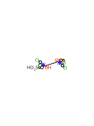 O=S(=O)(O)c1cc2c(s1)-c1c(c(C(O)CCCCCCCCC(O)c3nn(-c4ccc(Cl)cc4Cl)c4c3CCc3ccsc3-4)nn1-c1ccc(Cl)cc1Cl)CC2